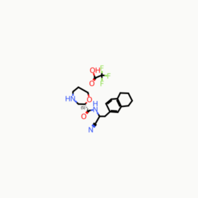 N#CC(Cc1ccc2c(c1)CCCC2)NC(=O)[C@@H]1CNCCCO1.O=C(O)C(F)(F)F